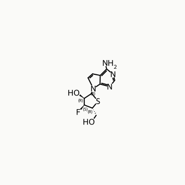 Nc1ncnc2c1ccn2[C@@H]1S[C@H](CO)[C@@H](F)[C@H]1O